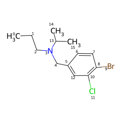 CCCN(Cc1ccc(Br)c(Cl)c1)C(C)C